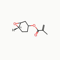 C=C(C)C(=O)OC1CC[C@@H]2OC2C1